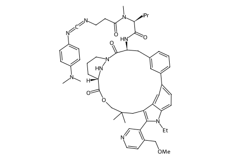 CCn1c(-c2cnccc2COC)c2c3cc(ccc31)-c1cccc(c1)C[C@H](NC(=O)[C@H](C(C)C)N(C)C(=O)CCN=C=Nc1ccc(N(C)C)cc1)C(=O)N1CCC[C@H](N1)C(=O)OCC(C)(C)C2